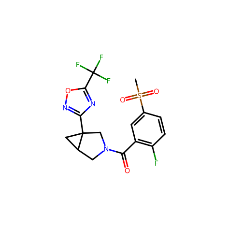 CS(=O)(=O)c1ccc(F)c(C(=O)N2CC3CC3(c3noc(C(F)(F)F)n3)C2)c1